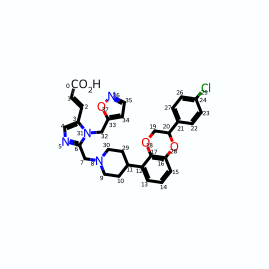 O=C(O)C=Cc1cnc(CN2CCC(c3cccc4c3OCC(c3ccc(Cl)cc3)O4)CC2)n1Cc1ccno1